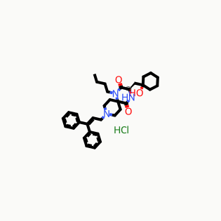 CCCCN1C(=O)[C@@H](CC2(O)CCCCC2)NC(=O)C12CCN(CC=C(c1ccccc1)c1ccccc1)CC2.Cl